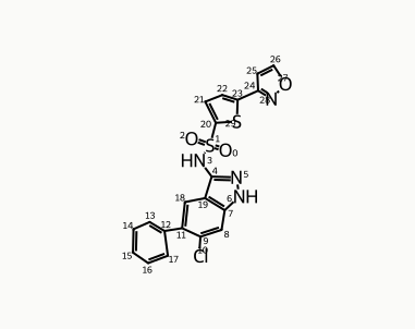 O=S(=O)(Nc1n[nH]c2cc(Cl)c(-c3ccccc3)cc12)c1ccc(-c2ccon2)s1